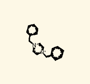 c1ccc(C[n+]2cc[n+](Cc3ccccc3)cc2)cc1